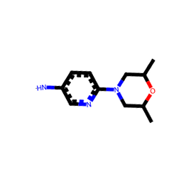 CC1CN(c2ccc([NH])cn2)CC(C)O1